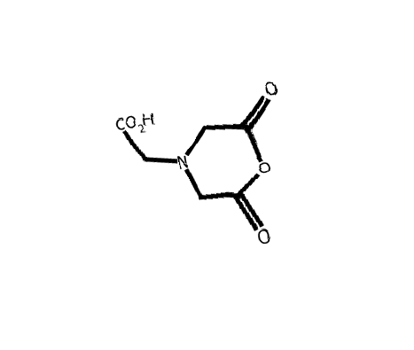 O=C(O)CN1CC(=O)OC(=O)C1